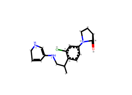 CC(CNC1=CNCC=C1)c1ccc(N2CCCC2=O)cc1Cl